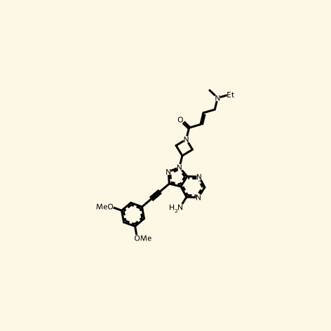 CCN(C)CC=CC(=O)N1CC(n2nc(C#Cc3cc(OC)cc(OC)c3)c3c(N)ncnc32)C1